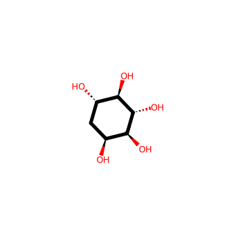 O[C@@H]1[C@@H](O)[C@@H](O)C[C@H](O)[C@H]1O